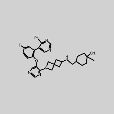 CC(C)c1ncncc1-c1cc(F)ccc1Oc1cncnc1N1CC2(CC(NCC3CCC(C)(C#N)CC3)C2)C1